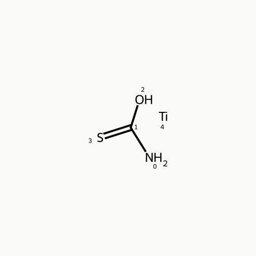 NC(O)=S.[Ti]